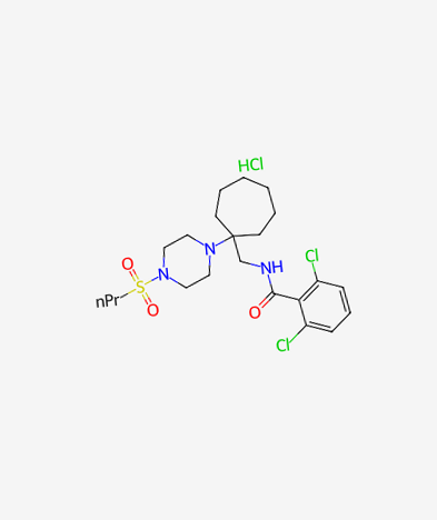 CCCS(=O)(=O)N1CCN(C2(CNC(=O)c3c(Cl)cccc3Cl)CCCCCC2)CC1.Cl